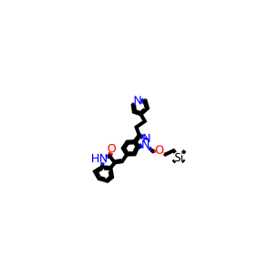 C[Si](C)(C)CCOCn1nc(CCc2ccncc2)c2ccc(C=C3C(=O)Nc4ccccc43)cc21